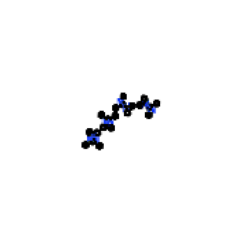 c1ccc(-c2cc(-n3c4ccccc4c4cc(-c5ccc6c(c5)c5ccccc5n6-c5cc(-c6ccccc6)nc(-c6cccc(-c7cccc(-c8cc(-c9ccccc9)nc(-n9c%10ccccc%10c%10cc(-c%11ccc%12c(c%11)c%11ccccc%11n%12-c%11nc(-c%12ccccc%12)cc(-c%12ccccc%12)n%11)ccc%109)n8)c7)c6)c5)ccc43)cc(-c3ccccc3)n2)cc1